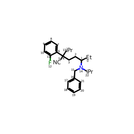 CCC(CCC(C#N)(c1ccccc1F)C(C)C)N(Cc1ccccc1)C(C)C